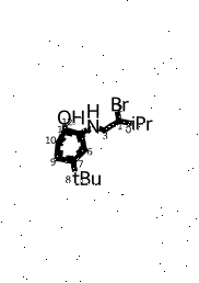 CC(C)C(Br)CNc1cc(C(C)(C)C)ccc1O